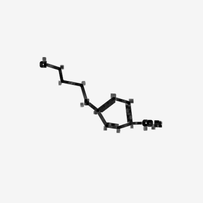 CCOC(=O)c1ccc(SCCCCl)cc1